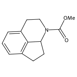 COC(=O)N1CCc2cccc3c2C1CC3